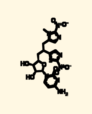 Cn1c(CC(C[C@H]2O[C@@H](n3ccc(N)nc3=O)[C@@H](O)[C@H]2O)c2cnc([N+](=O)[O-])s2)cnc1[N+](=O)[O-]